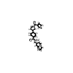 O=C(NCc1ccn2ccnc2c1)c1ccc(C2CCN(C(=O)c3ccsc3)C2)cc1